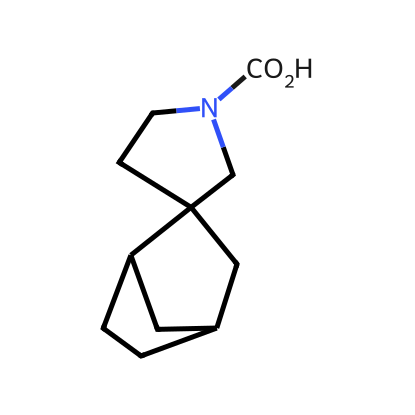 O=C(O)N1CCC2(CC3CCC2C3)C1